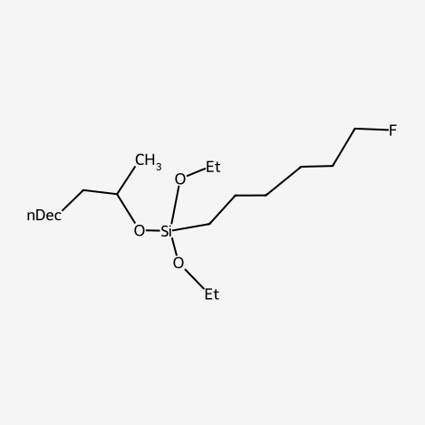 CCCCCCCCCCCC(C)O[Si](CCCCCCF)(OCC)OCC